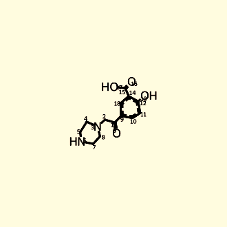 O=C(CN1CCNCC1)c1ccc(O)c(C(=O)O)c1